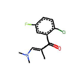 CC(=CN(C)C)C(=O)c1cc(F)ccc1Cl